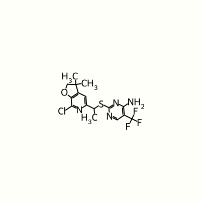 CC(Sc1ncc(C(F)(F)F)c(N)n1)c1cc2c(c(Cl)n1)OCC2(C)C